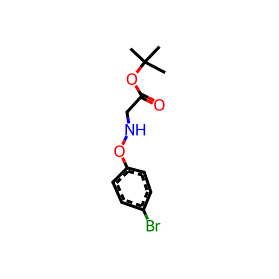 CC(C)(C)OC(=O)CNOc1ccc(Br)cc1